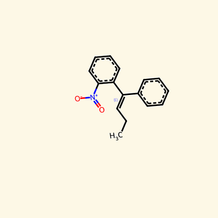 CC/C=C(\c1ccccc1)c1ccccc1[N+](=O)[O-]